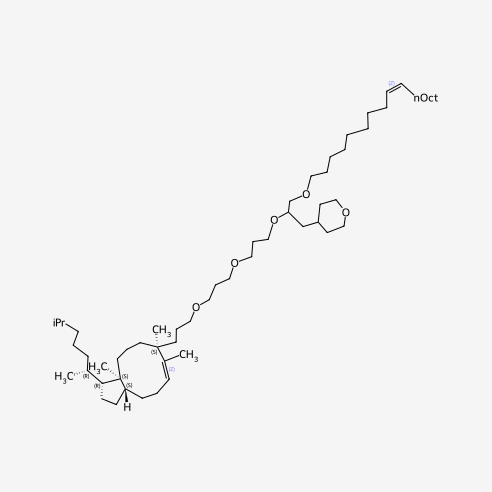 CCCCCCCC/C=C\CCCCCCCCOCC(CC1CCOCC1)OCCCOCCCOCCC[C@]1(C)CCC[C@@]2(C)[C@H](CC/C=C\1C)CC[C@@H]2[C@H](C)CCCC(C)C